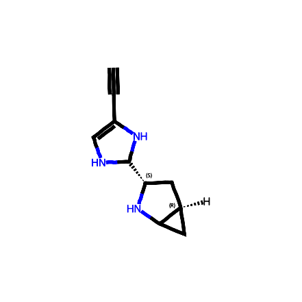 C#CC1=CNC([C@@H]2C[C@H]3CC3N2)N1